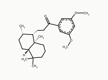 COc1cc(OC)cc(C(=O)CC[C@H]2[C@@H](C)CC[C@H]3C(C)(C)CCC[C@]23C)c1